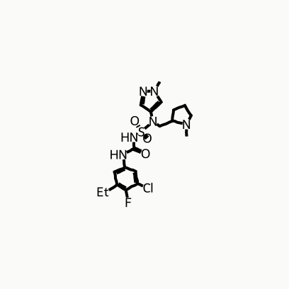 CCc1cc(NC(=O)NS(=O)(=O)N(CC2CCCN2C)c2cnn(C)c2)cc(Cl)c1F